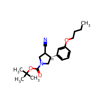 CCCCOc1cccc([C@@H]2CN(C(=O)OC(C)(C)C)CC2C#N)c1